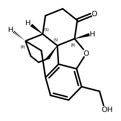 O=C1CC[C@H]2[C@@H]3CCC[C@@]24c2c(ccc(CO)c2O[C@@H]14)C3